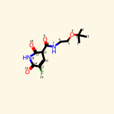 CC(C)(C)OCCNC(=O)C1C=C(F)C(=O)NC1=O